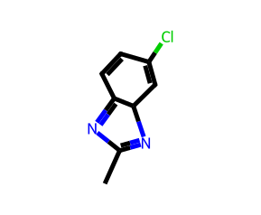 CC1=NC2C=C(Cl)C=CC2=N1